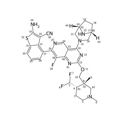 CN1CC[C@H](C(F)F)[C@](C)(COc2nc(N3C[C@H]4CC[C@@H](C3)N4)c3cnc(-c4cccc5sc(N)c(C#N)c45)c(F)c3n2)C1